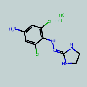 Cl.Cl.Nc1cc(Cl)c(NN=C2NCCN2)c(Cl)c1